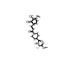 COC(=O)[C@H](C)NC(=O)C1CCN(C(=O)/C=C/c2ccc(SC)c(Cl)c2Cl)CC1